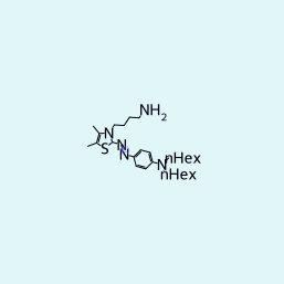 CCCCCCN(CCCCCC)c1ccc(/N=N/C2SC(C)=C(C)N2CCCCN)cc1